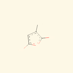 Cc1cc(O)oc1O